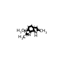 Cc1cc2ccc3c(nc(C)n3C)c2[nH]1